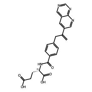 C=C(Cc1ccc(C(=O)N[C@@H](CCC(=O)O)C(=O)O)cc1)c1cnc2ncncc2c1